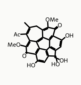 COc1c2c3c4c(c(OC)c(=O)c5c(O)cc(CO)c(c6c(CO)cc(O)c(c1=O)c63)c54)C(C(C)=O)=C(C)C2